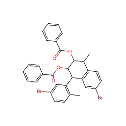 Cc1ccc(Br)cc1C1c2cc(Br)ccc2C(C)C(OC(=O)c2ccccc2)C1OC(=O)c1ccccc1